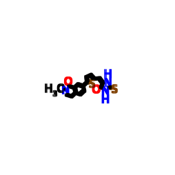 CN1CCc2ccc(-c3ccc(C=C4NC(=S)NC4=O)s3)cc2C1=O